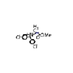 COC(=O)/C=C(/C)CNC(c1ccc(Cl)cc1)c1ccc(Cl)cc1